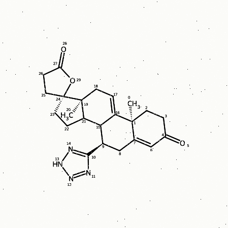 C[C@]12CCC(=O)C=C1C[C@@H](c1nn[nH]n1)C1C2=CC[C@@]2(C)C1CC[C@@]21CCC(=O)O1